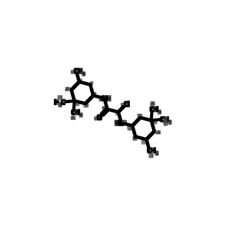 CC1CC(NC(=O)C(Cl)NC2CC(C)CC(C)(C)C2)CC(C)(C)C1